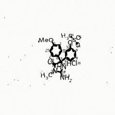 COc1ccc(C2(c3cccc(OS(C)(=O)=O)c3)NC(N)N(C)C2=O)cc1.Cl